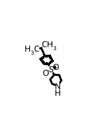 CC(C)c1ccc(S(=O)(=O)C2CCNCC2)cc1